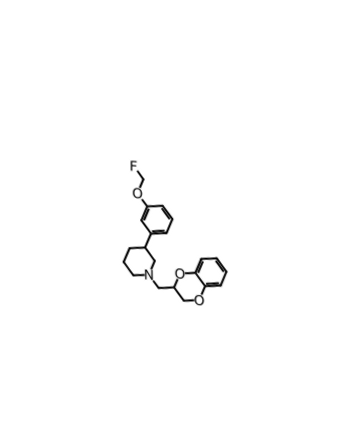 FCOc1cccc(C2CCCN(CC3COc4ccccc4O3)C2)c1